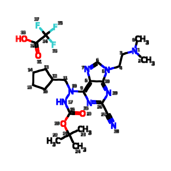 CN(C)CCn1cnc2c(N(CC3CCCC3)NC(=O)OC(C)(C)C)nc(C#N)nc21.O=C(O)C(F)(F)F